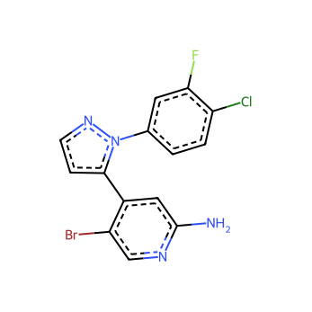 Nc1cc(-c2ccnn2-c2ccc(Cl)c(F)c2)c(Br)cn1